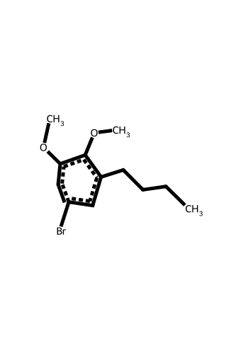 CCCCc1cc(Br)cc(OC)c1OC